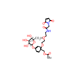 CC(C)(C)C(=O)OCc1ccc(O[C@@H]2O[C@H](C(=O)O)[C@@H](O)[C@H](O)[C@H]2O)cc1OCCOCCNC(=O)CN1C(=O)C=CC1=O